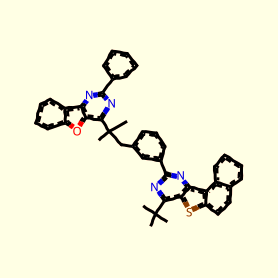 CC(C)(C)c1nc(-c2cccc(CC(C)(C)c3nc(-c4ccccc4)nc4c3oc3ccccc34)c2)nc2c1sc1ccc3ccccc3c12